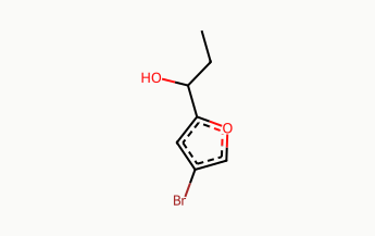 CCC(O)c1cc(Br)co1